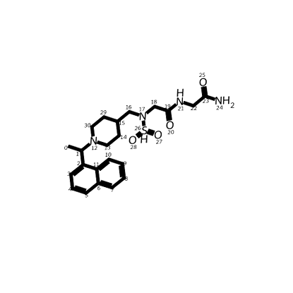 CC(c1cccc2ccccc12)N1CCC(CN(CC(=O)NCC(N)=O)[SH](=O)=O)CC1